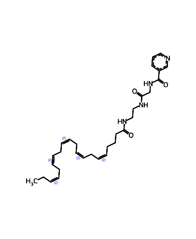 CC/C=C\C/C=C\C/C=C\C/C=C\C/C=C\CCCC(=O)NCCNC(=O)CNC(=O)c1cccnc1